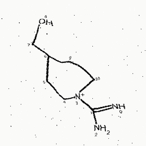 N=C(N)[N+]1CCC(CO)CC1